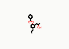 CC=Cc1ccc(OC(=O)c2ccccc2)c(C=C(C)O)c1